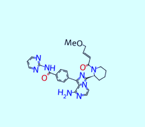 COCC=CC(=O)N1CCCC[C@H]1c1nc(-c2ccc(C(=O)Nc3ncccn3)cc2)c2c(N)nccn12